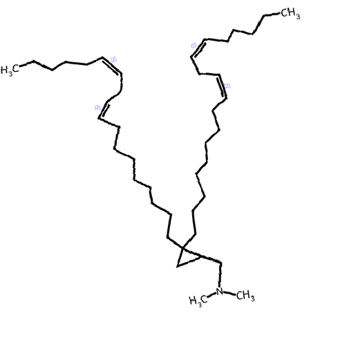 CCCCC/C=C\C/C=C\CCCCCCCCC1(CCCCCCCC/C=C\C/C=C\CCCCC)CC1CN(C)C